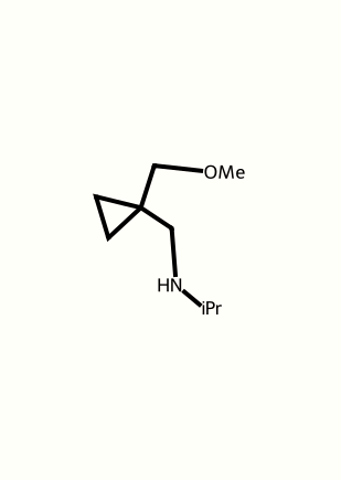 COCC1(CNC(C)C)CC1